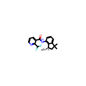 CCC[C@@H]1CC(C)(C)c2cccc(NC(=O)c3cccnc3C(F)F)c21